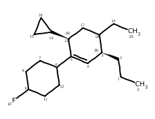 CCC[C@H]1C=C(C2CCC(F)CC2)[C@@H](C2CC2)CC1CC